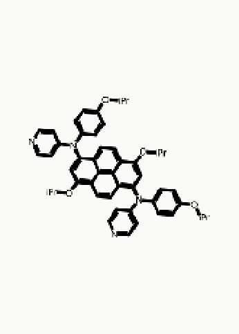 CC(C)Oc1ccc(N(c2ccncc2)c2cc(OC(C)C)c3ccc4c(N(c5ccncc5)c5ccc(OC(C)C)cc5)cc(OC(C)C)c5ccc2c3c54)cc1